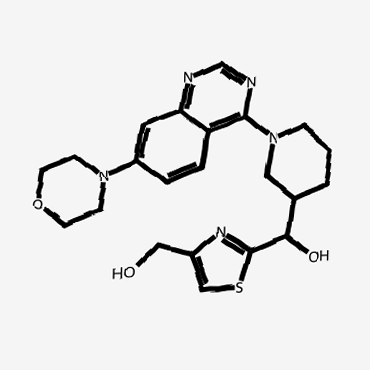 OCc1csc(C(O)C2CCCN(c3ncnc4cc(N5CCOCC5)ccc34)C2)n1